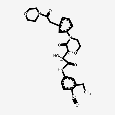 [C-]#[N+]c1ccc(NC(=O)[C@H](O)[C@H]2OCCN(c3cccc(CC(=O)N4CCOCC4)c3)C2=O)cc1CC